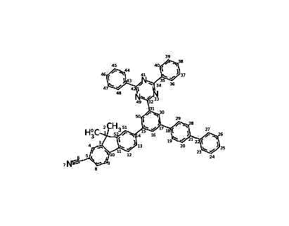 CC1(C)c2cc(C#N)ccc2-c2ccc(-c3cc(-c4ccc(-c5ccccc5)cc4)cc(-c4nc(-c5ccccc5)nc(-c5ccccc5)n4)c3)cc21